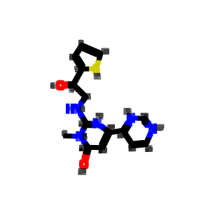 Cn1c(NCC(=O)c2cccs2)nc(-c2ccncn2)cc1=O